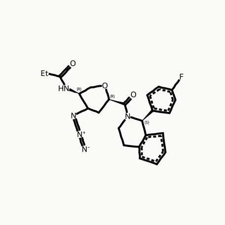 CCC(=O)N[C@H]1CO[C@@H](C(=O)N2CCc3ccccc3[C@@H]2c2ccc(F)cc2)CC1N=[N+]=[N-]